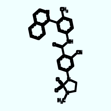 Cc1ccc(NC(=O)c2ccc(N3CCN(C)S3(=O)=O)cc2C#N)cc1-c1nccc2ccccc12